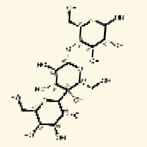 OC[C@H]1OC([C@@]2(O)[C@H](O)[C@@H](O)[C@H](O[C@H]3[C@H](O)[C@@H](O)C(O)O[C@@H]3CO)O[C@@H]2CO)[C@H](O)[C@@H](O)[C@H]1O